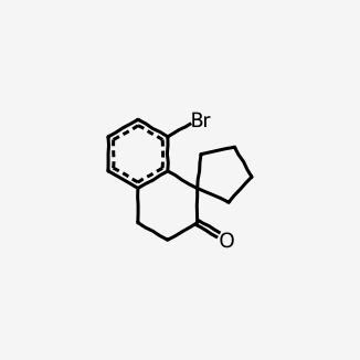 O=C1CCc2cccc(Br)c2C12CCCC2